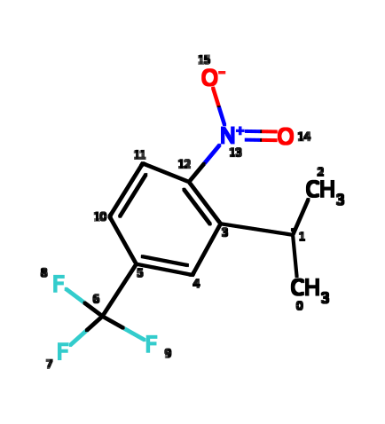 C[C](C)c1cc(C(F)(F)F)ccc1[N+](=O)[O-]